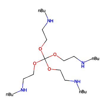 CCCCNCCOC(OCCNCCCC)(OCCNCCCC)OCCNCCCC